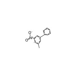 Cc1[c]c([N+](=O)[O-])cc(-c2ccccc2)c1